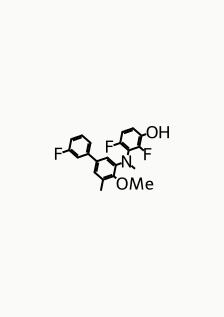 COc1c(C)cc(-c2cccc(F)c2)cc1N(C)c1c(F)ccc(O)c1F